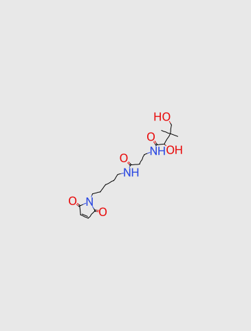 CC(C)(CO)C(O)C(=O)NCCC(=O)NCCCCCN1C(=O)C=CC1=O